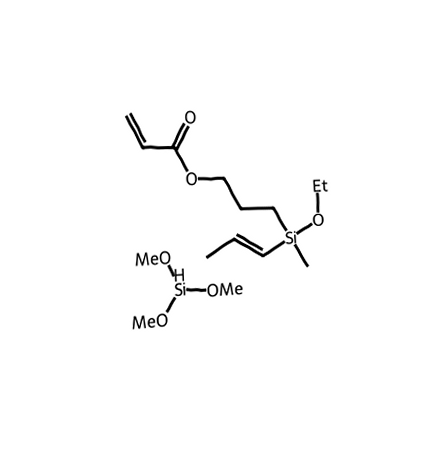 C=CC(=O)OCCC[Si](C)(C=CC)OCC.CO[SiH](OC)OC